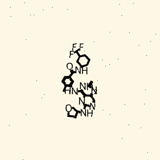 C=C/N=C1/C=NC(NC2CCOC2)=N/C1=C(/N)Nc1cc(C(=O)NC2CCCC(C(F)(F)F)C2)ccc1C